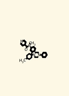 CC1CCC(c2cccc(N(C)C(=O)c3ccncc3)c2)(N2CCN(c3ccccc3)CC2)CC1